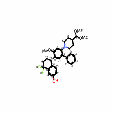 COc1cc(N2CCC(C(OC)OC)CC2)c(-c2ccccc2)cc1[C@@H]1CCC(F)(F)c2cc(O)ccc21